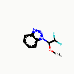 COC(C(F)F)n1nnc2ccccc21